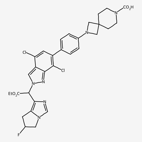 CCOC(=O)C(c1ncn2c1CC(F)C2)n1cc2c(Cl)cc(-c3ccc(N4CC5(CCN(C(=O)O)CC5)C4)cc3)c(Cl)c2n1